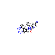 CC(=N)c1cc(N2C(=O)c3ncc(C#N)cc3C2C)ccc1N